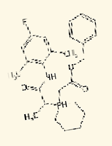 Cc1cc(F)cc(C)c1NC(=O)C(C)[PH]1(CC(=O)OCc2ccccc2)CCCCC1